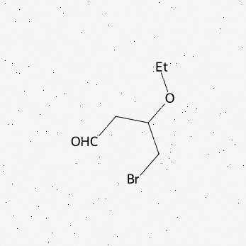 CCOC(CBr)CC=O